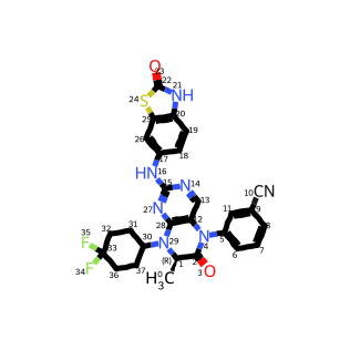 C[C@@H]1C(=O)N(c2cccc(C#N)c2)c2cnc(Nc3ccc4[nH]c(=O)sc4c3)nc2N1C1CCC(F)(F)CC1